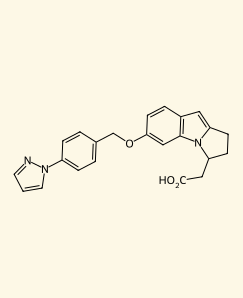 O=C(O)CC1CCc2cc3ccc(OCc4ccc(-n5cccn5)cc4)cc3n21